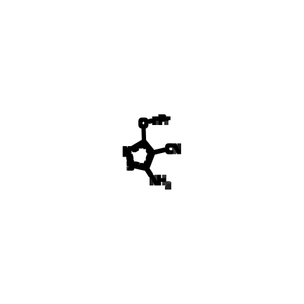 CCCOc1nsc(N)c1C#N